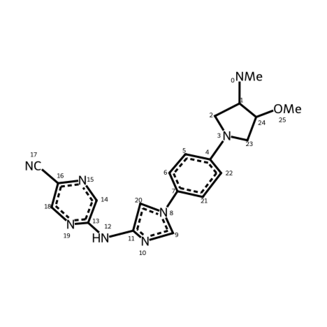 CNC1CN(c2ccc(-n3cnc(Nc4cnc(C#N)cn4)c3)cc2)CC1OC